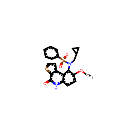 COc1ccc2[nH]c(=O)c3sccc3c2c1N(CC1CC1)S(=O)(=O)c1ccccc1